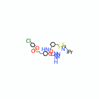 CC(C)Cc1csc(SCc2cccc(C(=O)Nc3cc(CCCS(=O)(=O)c4ccc(Cl)cc4)ccc3OCc3nnn[nH]3)c2)n1